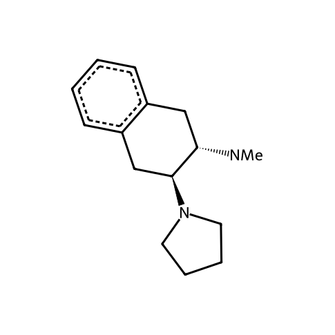 CN[C@H]1Cc2ccccc2C[C@@H]1N1CCCC1